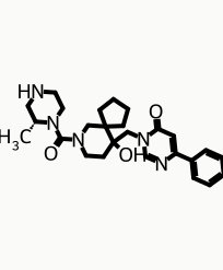 C[C@@H]1CNCCN1C(=O)N1CCC(O)(Cn2cnc(-c3ccccc3)cc2=O)C2(CCCC2)C1